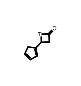 O=[C]1C[CH](C2=CC=CC2)[Ti]1